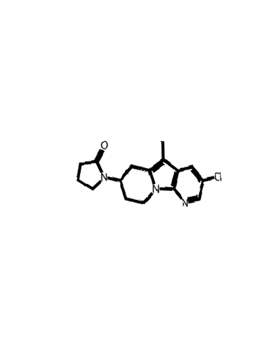 Cc1c2n(c3ncc(Cl)cc13)CCC(N1CCCC1=O)C2